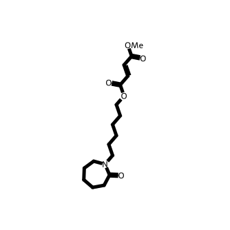 COC(=O)C=CC(=O)OCCCCCCN1CCCCCC1=O